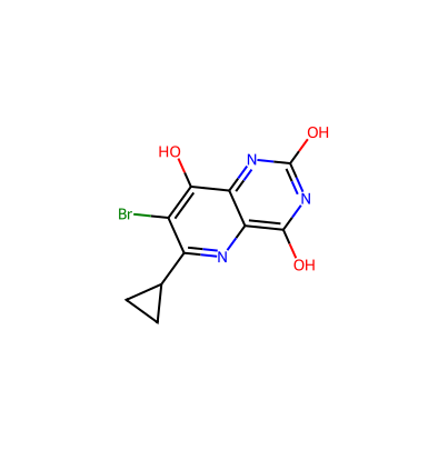 Oc1nc(O)c2nc(C3CC3)c(Br)c(O)c2n1